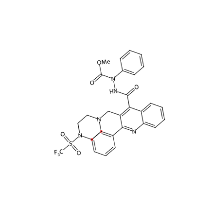 COC(=O)N(NC(=O)c1c(CN2CCN(S(=O)(=O)C(F)(F)F)CC2)c(-c2ccccc2)nc2ccccc12)c1ccccc1